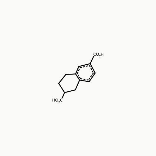 O=C(O)c1ccc2c(c1)CCC(C(=O)O)C2